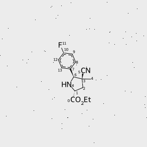 CCOC(=O)[C@H]1C[C@](C)(C#N)[C@H](c2ccc(F)cc2)N1